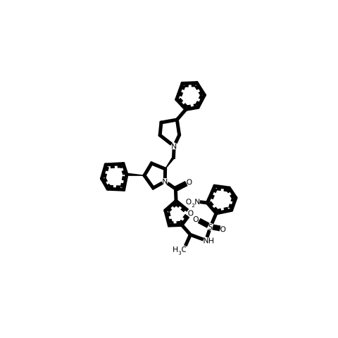 CC(NS(=O)(=O)c1ccccc1[N+](=O)[O-])c1ccc(C(=O)N2C[C@@H](c3ccccc3)C[C@H]2CN2CCC(c3ccccc3)C2)o1